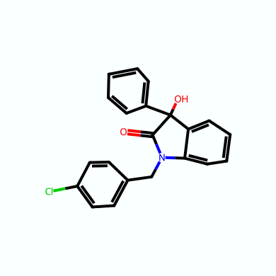 O=C1N(Cc2ccc(Cl)cc2)c2ccccc2C1(O)c1ccccc1